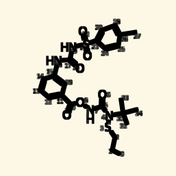 CCCSN(C(=O)NOC(=O)c1cccc(NC(=O)NS(=O)(=O)c2ccc(C)cc2)c1)C(C)(C)C